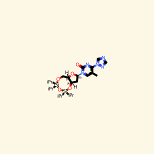 Cc1cn([C@H]2C[C@H]3O[Si](C(C)C)(C(C)C)O[Si](C(C)C)(C(C)C)OC[C@@H]3O2)c(=O)nc1-n1cncn1